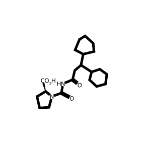 O=C(CC(C1CCCCC1)C1CCCCC1)NC(=O)N1CCC[C@H]1C(=O)O